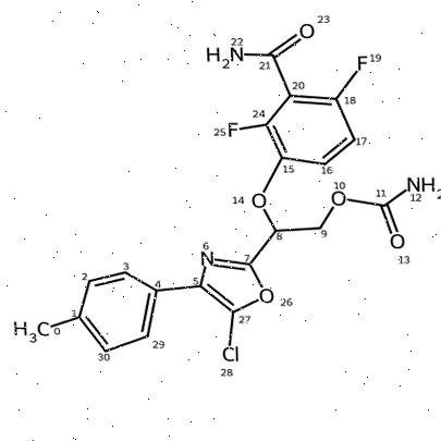 Cc1ccc(-c2nc(C(COC(N)=O)Oc3ccc(F)c(C(N)=O)c3F)oc2Cl)cc1